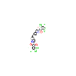 O=C1c2c(Cl)c(Cl)c(Cl)c(Cl)c2C(=O)C1c1ccc2cc(Cc3ccc4nc(C5C(=O)c6c(Cl)c(Cl)c(Cl)c(Cl)c6C5=O)ccc4c3)ccc2n1